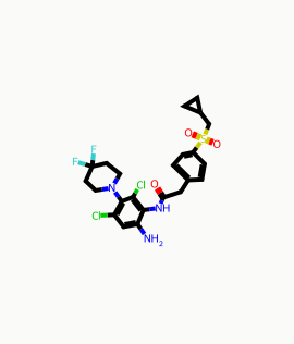 Nc1cc(Cl)c(N2CCC(F)(F)CC2)c(Cl)c1NC(=O)Cc1ccc(S(=O)(=O)CC2CC2)cc1